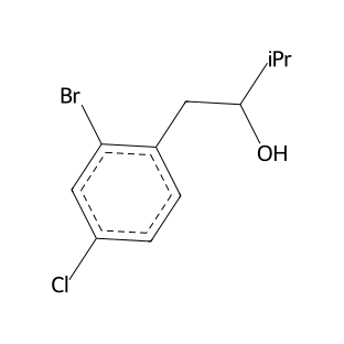 CC(C)C(O)Cc1ccc(Cl)cc1Br